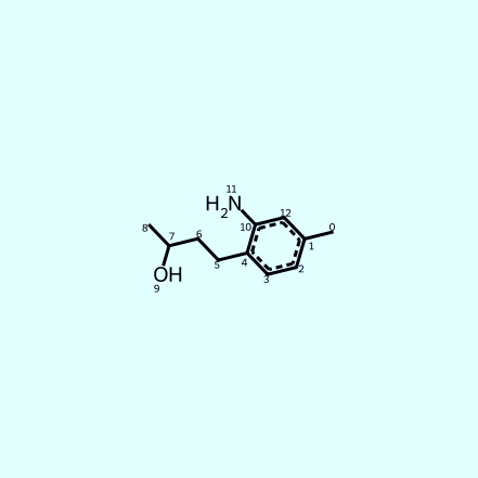 Cc1ccc(CCC(C)O)c(N)c1